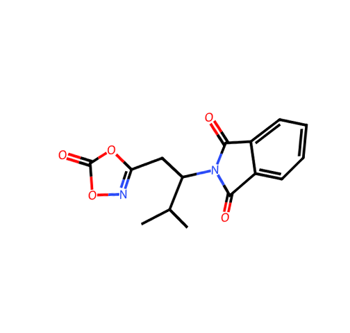 CC(C)C(Cc1noc(=O)o1)N1C(=O)c2ccccc2C1=O